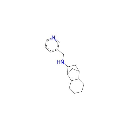 c1cncc(CNC2CC3CC2C2CCCCC32)c1